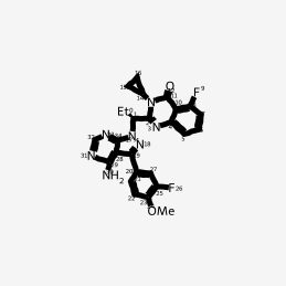 CC[C@@H](c1nc2cccc(F)c2c(=O)n1C1CC1)n1nc(-c2ccc(OC)c(F)c2)c2c(N)ncnc21